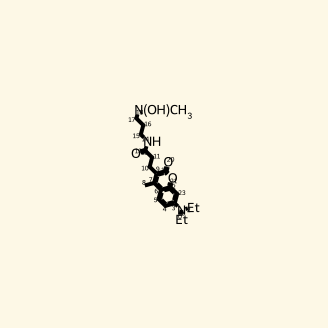 CCN(CC)c1ccc2c(C)c(CCC(=O)NCCCN(C)O)c(=O)oc2c1